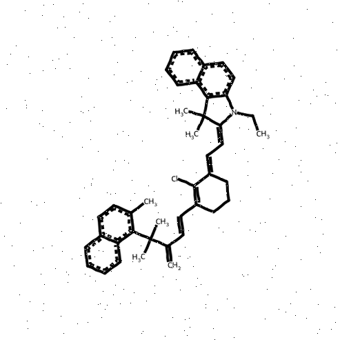 C=C(/C=C/C1=C(Cl)C(=C/C=C2/N(CC)c3ccc4ccccc4c3C2(C)C)/CCC1)C(C)(C)c1c(C)ccc2ccccc12